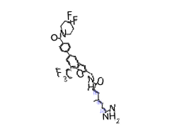 C=N\C(N)=C/C=C(C)/C=C/C(=O)NCc1cc2cc(-c3ccc(C(=O)N4CCC(F)(F)CC4)cc3)cc(C(F)(F)F)c2o1